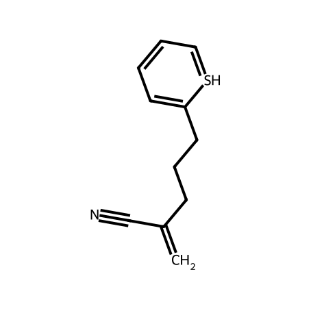 C=C(C#N)CCCC1=CC=CC=[SH]1